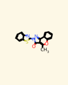 Cc1oc2ccccc2c2nn(-c3nc4ccccc4s3)c(=O)c1-2